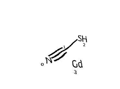 N#CS.[Gd]